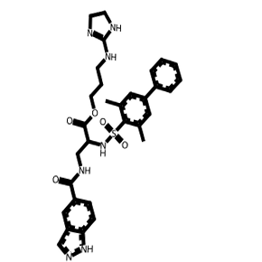 Cc1cc(-c2ccccc2)cc(C)c1S(=O)(=O)NC(CNC(=O)c1ccc2[nH]ncc2c1)C(=O)OCCCNC1=NCCN1